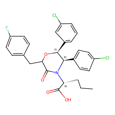 CCC[C@H](C(=O)O)N1C(=O)C(Cc2ccc(F)cc2)O[C@@H](c2cccc(Cl)c2)[C@H]1c1ccc(Cl)cc1